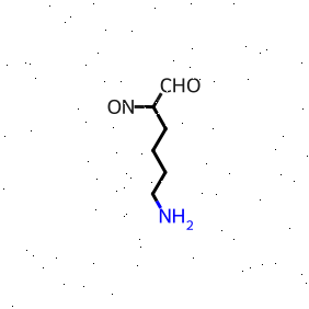 NCCCCC(C=O)N=O